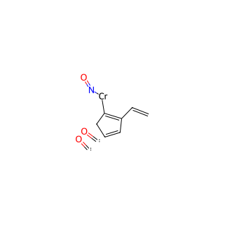 C=CC1=[C]([Cr][N]=O)CC=C1.[C]=O.[C]=O